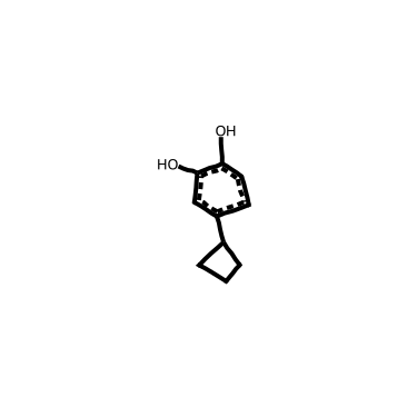 Oc1ccc(C2CCC2)cc1O